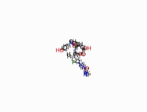 C=C(Cc1cc(F)cc(N2CCN(C(=O)Cn3cccn3)CC2)c1)[C@H]1OC(=O)C[C@H](O)CC[C@H](C)[C@@H](OC(=O)N(C)CCc2ccc(O)cc2)/C=C/[C@@H]1C